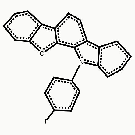 Ic1ccc(-n2c3ccccc3c3ccc4c5ccccc5oc4c32)cc1